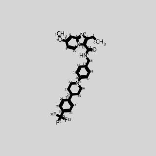 CCc1nc2cc(OC)ccn2c1C(=O)NCc1ccc(N2CCC(c3ccc(C(F)(F)F)cc3)CC2)cc1